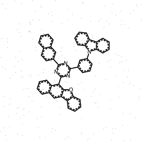 c1cc(-c2nc(-c3ccc4ccccc4c3)nc(-c3c4ccccc4cc4c3oc3ccccc34)n2)cc(-n2c3ccccc3c3ccccc32)c1